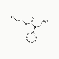 O=C(O)CN(C(=O)OCCBr)c1ccccc1